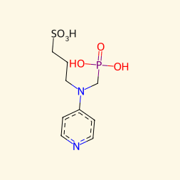 O=P(O)(O)CN(CCCS(=O)(=O)O)c1ccncc1